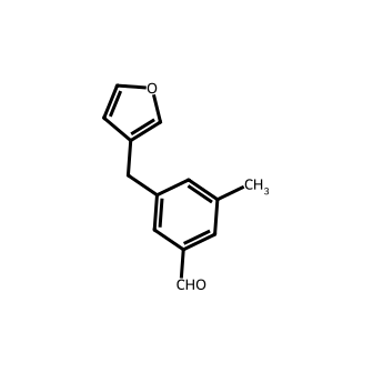 Cc1cc(C=O)cc(Cc2ccoc2)c1